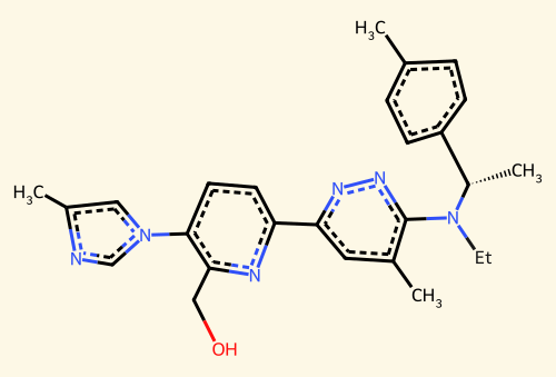 CCN(c1nnc(-c2ccc(-n3cnc(C)c3)c(CO)n2)cc1C)[C@@H](C)c1ccc(C)cc1